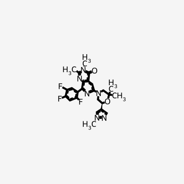 Cc1nc2c(-c3cc(F)c(F)cc3F)nc(N3C[C@H](c4cnn(C)c4)OC(C)(C)C3)cc2c(=O)n1C